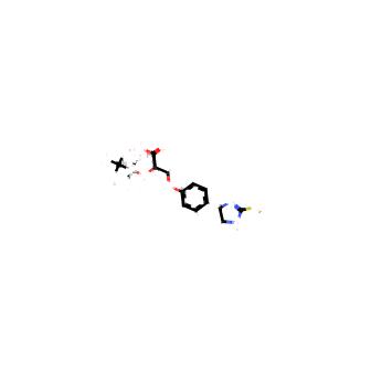 CSC1=N[C@@H](c2ccc(OCC(O[Si](C)(C)C(C)(C)C)C(=O)O)cc2)CN1